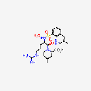 CC1CNc2c(cccc2S(=O)(=O)NC(CCCNC(=N)N)C(=O)N2CCC(C)CC2C(=O)O)C1.O